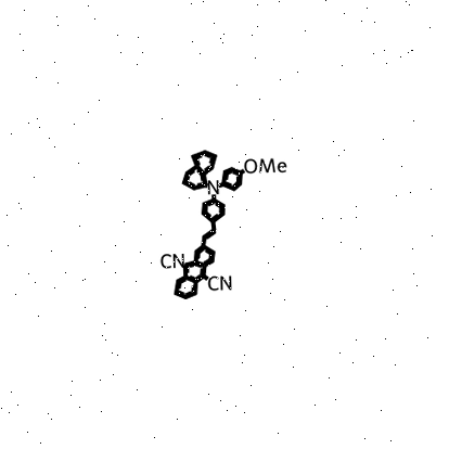 [C-]#[N+]c1c2ccccc2c(C#N)c2ccc(C=Cc3ccc(N(c4ccc(OC)cc4)c4cccc5ccccc45)cc3)cc12